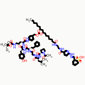 C=CCCCCCCC(CCCCCCC(=O)NCCNC(=O)c1ccc(NN=Cc2ccccc2S(=O)(=O)O)nc1)OC(=O)OCc1ccc(NC(=O)[C@H](CCCNC(=O)OC(C)(C)C)NC(=O)[C@H](Cc2ccc(O)cc2)NC(=O)[C@H](CCc2ccccc2)NC(=O)CNC(=O)[C@H](CC(C)C)NC(=O)[C@@H]2CCCN2C(C)=O)cc1